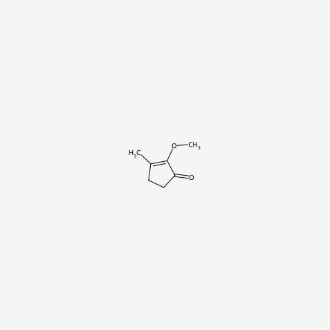 COC1=C(C)CCC1=O